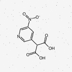 O=C(O)C(C(=O)O)c1cncc([N+](=O)[O-])c1